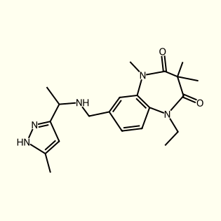 CCN1C(=O)C(C)(C)C(=O)N(C)c2cc(CNC(C)c3cc(C)[nH]n3)ccc21